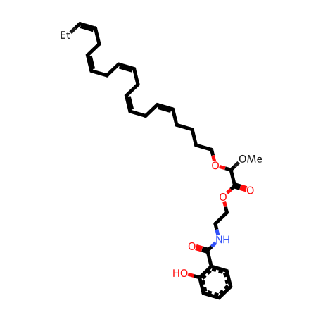 CC/C=C\C/C=C\C/C=C\C/C=C\C/C=C\CCCCOC(OC)C(=O)OCCNC(=O)c1ccccc1O